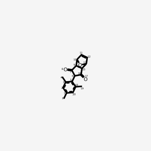 Cc1cc(C)c(C2C(=O)C3C4C=CC(O4)C3C2=O)c(C)c1